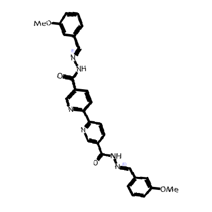 COc1cccc(/C=N/NC(=O)c2ccc(-c3ccc(C(=O)N/N=C/c4cccc(OC)c4)cn3)nc2)c1